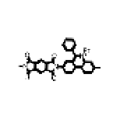 CC[n+]1c(-c2ccccc2)c2cc(-n3c(=O)c4cc5c(=O)n(C)c(=O)c5cc4c3=O)ccc2c2ccc(C)cc21